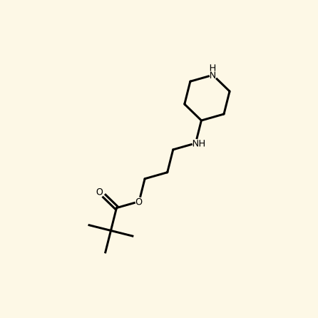 CC(C)(C)C(=O)OCCCNC1CCNCC1